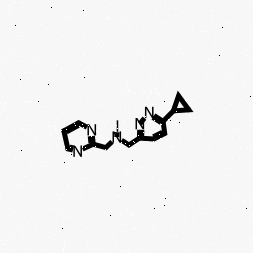 IN(Cc1ccc(C2CC2)nn1)Cc1ncccn1